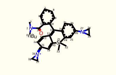 CCCCN(C)C(=O)c1ccccc1C1=C2C=CC(=[N+]3CC3)C=C2[Si](C)(C)c2cc(N3CC3)ccc21